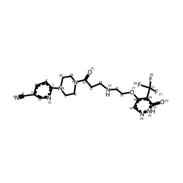 N#Cc1ccc(N2CCN(C(=O)CCNCCOc3cn[nH]c(=O)c3C(F)(F)F)CC2)nc1